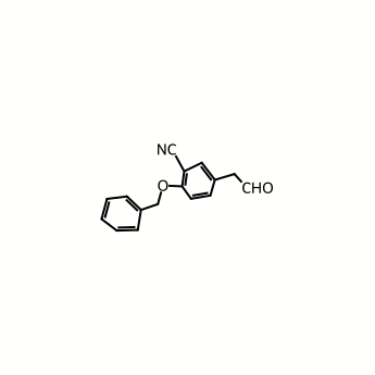 N#Cc1cc(CC=O)ccc1OCc1ccccc1